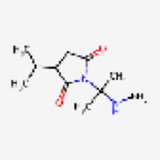 BNC(C)(C)N1C(=O)CC(C(C)C)C1=O